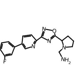 NCN1CCCC1c1nc(-c2ccc(-c3cccc(F)c3)cn2)no1